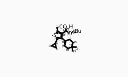 Cc1sc(C2CC2)c(C2=CCC(C)(C)CC2)c1C(OC(C)(C)C)C(=O)O